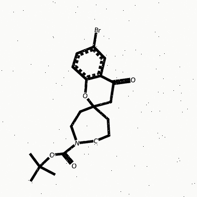 CC(C)(C)OC(=O)N1CCCC2(CC1)CC(=O)c1cc(Br)ccc1O2